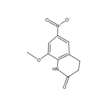 COc1cc([N+](=O)[O-])cc2c1NC(=O)CC2